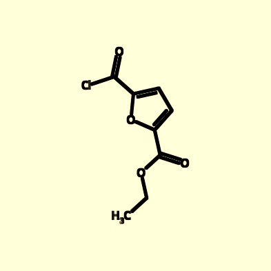 CCOC(=O)c1ccc(C(=O)Cl)o1